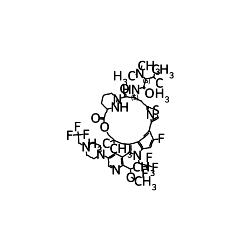 COC(C)c1ncc(N2CCN(CC(F)(F)F)CC2)cc1-c1c2c3cc(c(F)cc3n1CC(F)(F)F)-c1csc(n1)C[C@H](NC(=O)[C@H](C(C)C)N(C)C)C(=O)N1CCCC(N1)C(=O)OCC(C)(C)C2